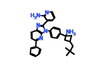 CC(C)(C)CC1CC(N)(c2ccc(-n3c(-c4cccnc4N)nc4ccc(-c5ccccc5)nc43)cc2)C1